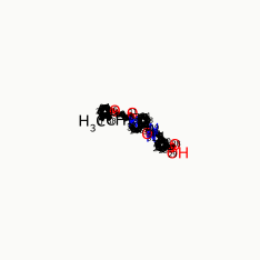 Cc1cccc(OCCCC(=O)N2CCCc3c(-c4nc(Cc5cccc(C(=O)O)c5)no4)cccc32)c1C